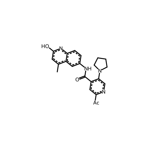 CC(=O)c1cc(C(=O)Nc2ccc3nc(O)cc(C)c3c2)c(N2CCCC2)cn1